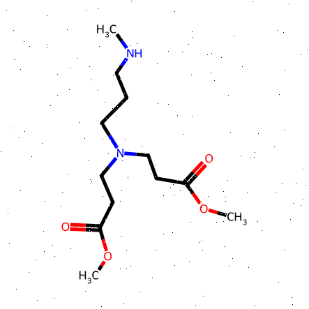 CNCCCN(CCC(=O)OC)CCC(=O)OC